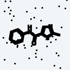 Cc1ncc(C(=O)Nc2ccccc2)s1